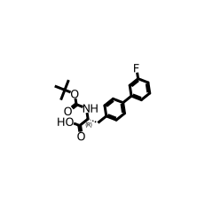 CC(C)(C)OC(=O)N[C@H](Cc1ccc(-c2cccc(F)c2)cc1)C(=O)O